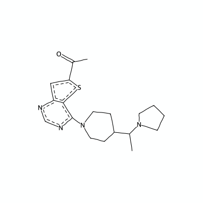 CC(=O)c1cc2ncnc(N3CCC(C(C)N4CCCC4)CC3)c2s1